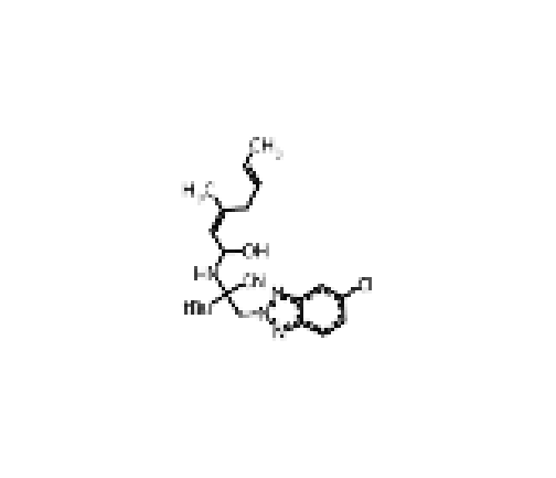 C/C=C/C/C(C)=C\C(O)NC(C#N)(Cn1nc2ccc(Cl)cc2n1)C(C)(C)C